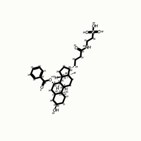 C[C@]12CC[C@H]3[C@@H]([C@@H](OC(=O)c4ccccc4)CC4C[C@H](O)CC[C@@]43C)[C@@H]1CC[C@@H]2CCCC(=O)NCCS(=O)(=O)O